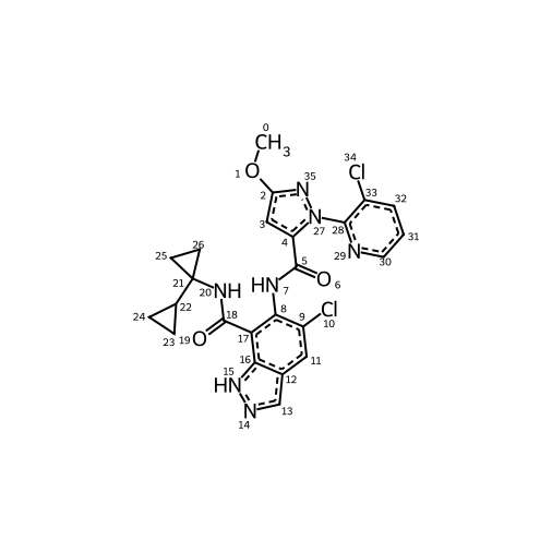 COc1cc(C(=O)Nc2c(Cl)cc3cn[nH]c3c2C(=O)NC2(C3CC3)CC2)n(-c2ncccc2Cl)n1